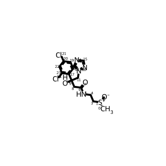 C[S+]([O-])CCNC(=O)CC(O)(Cn1cncn1)c1ccc(Cl)cc1Cl